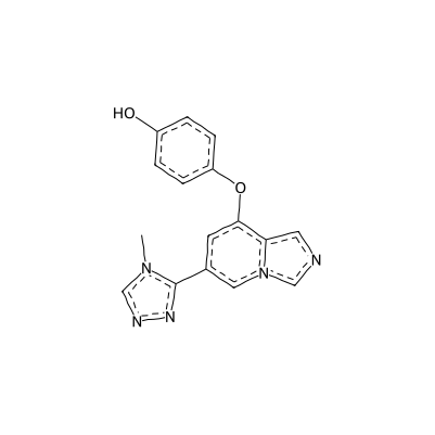 Cn1cnnc1-c1cc(Oc2ccc(O)cc2)c2cncn2c1